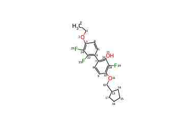 CCOc1ccc(-c2ccc(OCC3CCCC3)c(F)c2O)c(F)c1F